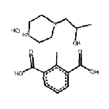 CC(O)CN1CCNCC1.Cc1c(C(=O)O)cccc1C(=O)O.Cl